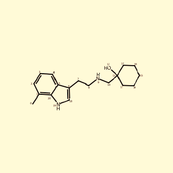 Cc1cccc2c(CCNCC3(O)CCCCC3)c[nH]c12